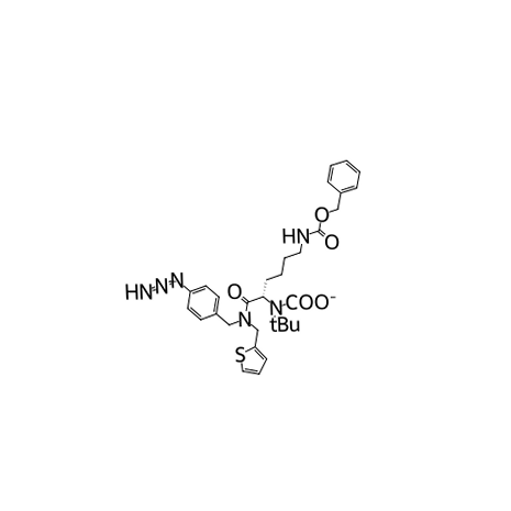 CC(C)(C)N(C(=O)[O-])[C@@H](CCCCNC(=O)OCc1ccccc1)C(=O)N(Cc1ccc(N=[N+]=N)cc1)Cc1cccs1